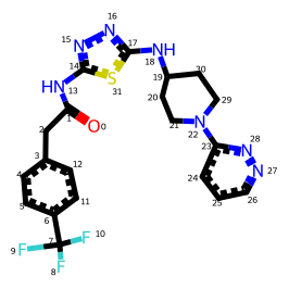 O=C(Cc1ccc(C(F)(F)F)cc1)Nc1nnc(NC2CCN(c3cccnn3)CC2)s1